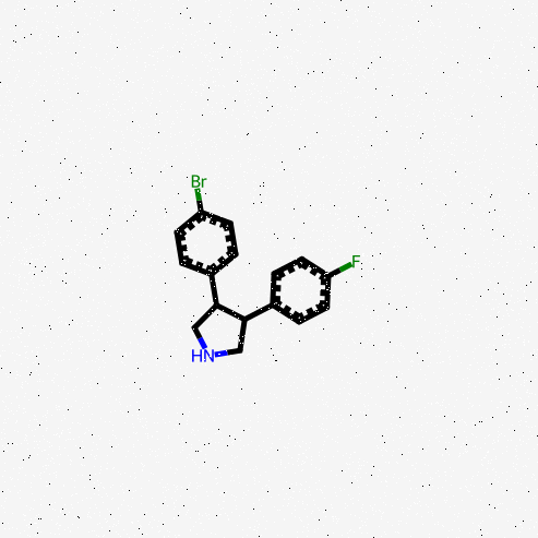 Fc1ccc(C2CNCC2c2ccc(Br)cc2)cc1